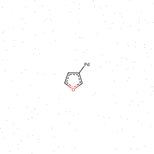 [Pd][c]1ccoc1